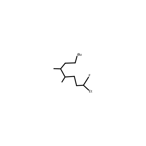 CCC(C)CCC(C)C(C)CCC(F)CC